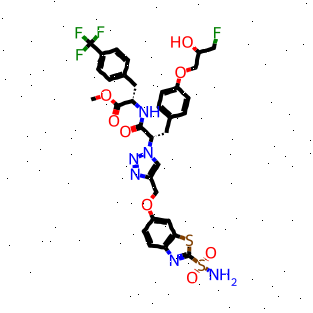 COC(=O)[C@H](Cc1ccc(C(F)(F)F)cc1)NC(=O)[C@H](Cc1ccc(OCC(O)CF)cc1)n1cc(COc2ccc3nc(S(N)(=O)=O)sc3c2)nn1